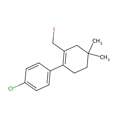 CC1(C)CCC(c2ccc(Cl)cc2)=C(CI)C1